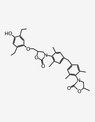 CCc1cc(OCC2CN(c3c(C)cc(Cc4cc(C)c(N5CC(C)OC5=O)c(C)c4)cc3C)C(=O)O2)c(CC)cc1O